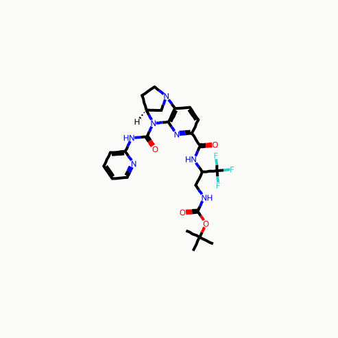 CC(C)(C)OC(=O)NCC(NC(=O)c1ccc2c(n1)N(C(=O)Nc1ccccn1)[C@H]1CCN2C1)C(F)(F)F